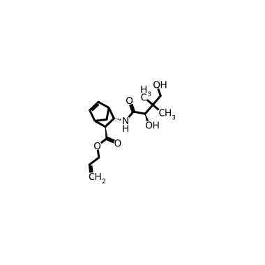 C=CCOC(=O)[C@H]1C2C=CC(C2)[C@@H]1NC(=O)[C@H](O)C(C)(C)CO